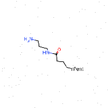 CCCCCCCCC(=O)NCCCN